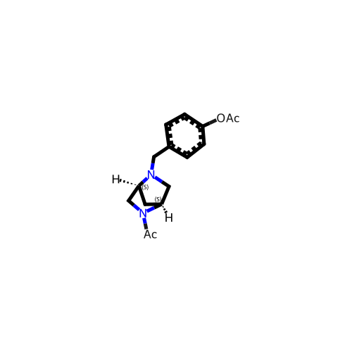 CC(=O)Oc1ccc(CN2C[C@@H]3C[C@H]2CN3C(C)=O)cc1